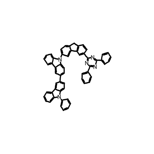 c1ccc(-c2nc(-c3ccccc3)nc(-c3ccc4c(c3)-c3cc(-n5c6ccccc6c6cc(-c7ccc8c(c7)c7ccccc7n8-c7ccccc7)ccc65)ccc3C4)n2)cc1